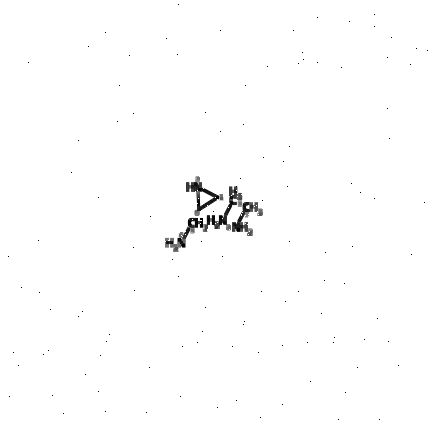 C1CN1.CN.CN.CN